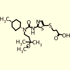 COC(C)(C)CCN(C(=O)Nc1ncc(SCCC(=O)O)s1)[C@H]1CC[C@H](C)CC1